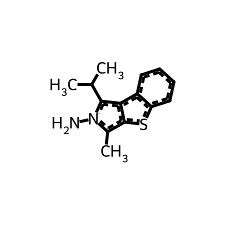 Cc1c2sc3ccccc3c2c(C(C)C)n1N